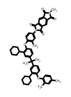 Cc1ccc(Oc2ccc(C(C)(C)c3ccc(Oc4ccc(-n5c(=O)c6cc7c(=O)n(C)c(=O)c7cc6c5=O)cc4C)c(C4CCCCC4)c3)cc2C2CCCCC2)c(C(F)(F)F)c1